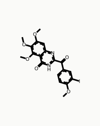 COc1ccc(C(=O)c2nc3cc(OC)c(OC)c(OC)c3c(=O)[nH]2)cc1I